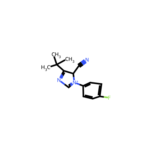 CC(C)(C)C1=NC=[N+](c2ccc(F)cc2)C1C#N